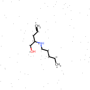 C=CCC(CO)NCCCCC